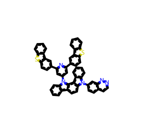 c1ccc2c(c1)sc1ccc(-c3cc(-n4c5ccccc5c5ccc6c(c7ccccc7n6-c6ccc7ccnnc7c6)c54)cc(-c4ccc5sc6ccccc6c5c4)n3)cc12